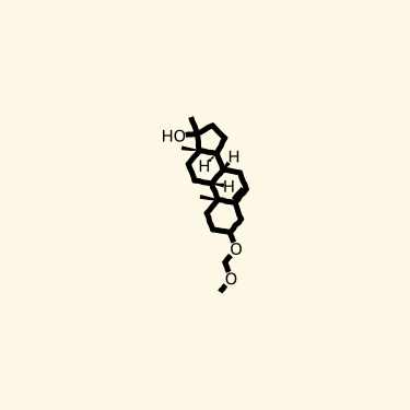 COCOC1CC[C@@]2(C)C(=CC[C@@H]3[C@H]2CC[C@@]2(C)[C@H]3CCC2(C)O)C1